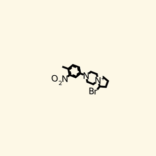 Cc1ccc(N2CC[N+]3(CCCC3Br)CC2)cc1[N+](=O)[O-]